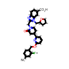 N#Cc1ccc(COc2cccc(-c3ccn(Cc4nc5ccc(C(=O)O)cc5n4CC4CCCO4)c(=O)c3)n2)c(F)c1